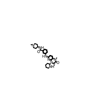 C[C@@H]1C(=O)N(C)c2ccc(Nc3cccc(C(=O)NC4CCN(C)CC4)c3)nc2N1C1CCCCN1